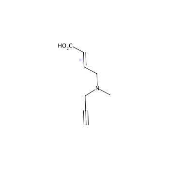 C#CCN(C)C/C=C/C(=O)O